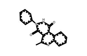 Cc1nc2ccccc2c2c(=O)[nH]n(-c3ccccc3)c(=O)c12